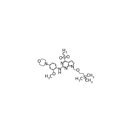 COc1cc(N2CCOCC2)ccc1Nc1nc(S(C)(=O)=O)c2ccn(COCC[Si](C)(C)C)c2n1